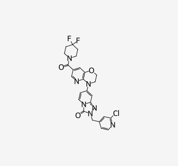 O=C(c1cnc2c(c1)OCCN2c1ccn2c(=O)n(Cc3ccnc(Cl)c3)nc2c1)N1CCC(F)(F)CC1